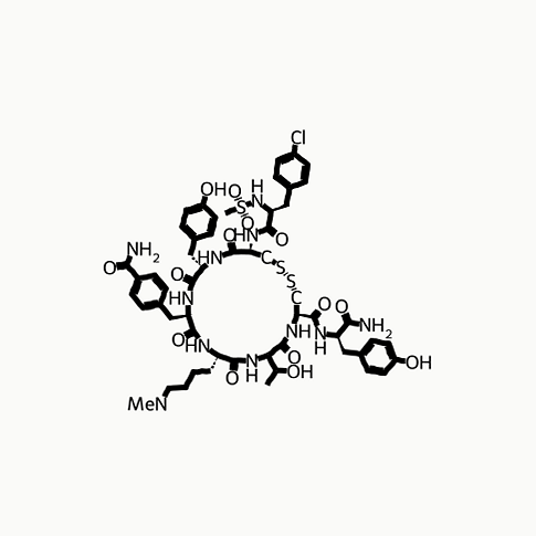 CNCCCC[C@@H]1NC(=O)[C@@H](Cc2ccc(C(N)=O)cc2)NC(=O)[C@H](Cc2ccc(O)cc2)NC(=O)[C@H](NC(=O)[C@H](Cc2ccc(Cl)cc2)NS(C)(=O)=O)CSSC[C@@H](C(=O)N[C@H](Cc2ccc(O)cc2)C(N)=O)NC(=O)C(C(C)O)NC1=O